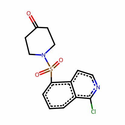 O=C1CCN(S(=O)(=O)c2cccc3c(Cl)nccc23)CC1